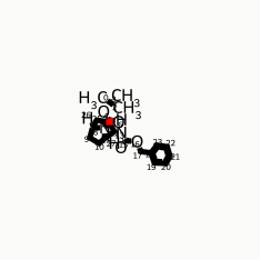 CC(C)(C)OC(=O)N1[C@H]2CC[C@@H]1[C@H](NC(=O)OCc1ccccc1)CC2